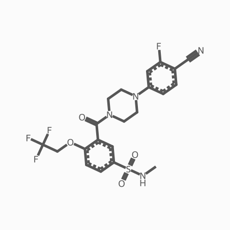 CNS(=O)(=O)c1ccc(OCC(F)(F)F)c(C(=O)N2CCN(c3ccc(C#N)c(F)c3)CC2)c1